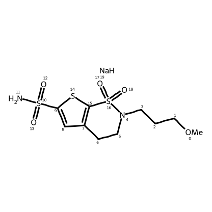 COCCCN1CCc2cc(S(N)(=O)=O)sc2S1(=O)=O.[NaH]